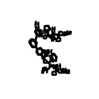 COC(=O)N[C@H](C(=O)N1CCC[C@H]1c1nc(-c2cccc(-c3ccc4nc([C@@H]5CCCN5C(=O)[C@@H](NC(=O)OC)C(C)C)[nH]c4c3)c2)c[nH]1)C(C)C